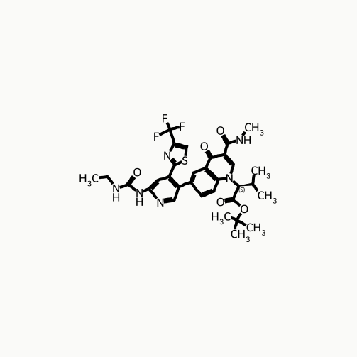 CCNC(=O)Nc1cc(-c2nc(C(F)(F)F)cs2)c(-c2ccc3c(c2)c(=O)c(C(=O)NC)cn3[C@H](C(=O)OC(C)(C)C)C(C)C)cn1